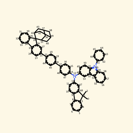 CC1(C)c2ccccc2-c2ccc(N(c3ccc(-c4ccc(-c5ccc6c(c5)C5(c7ccccc7-6)C6CC7CC(C6)CC5C7)cc4)cc3)c3ccc4c(c3)c3ccccc3n4-c3ccccc3)cc21